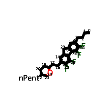 C=CCCc1cc2c(c(F)c1F)-c1c(cc(CCC3CCC(CCCCC)CO3)c(F)c1F)C2